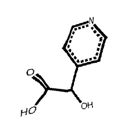 O=C(O)C(O)c1ccncc1